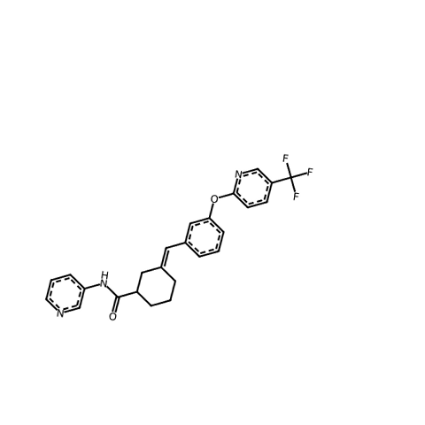 O=C(Nc1cccnc1)C1CCC/C(=C\c2cccc(Oc3ccc(C(F)(F)F)cn3)c2)C1